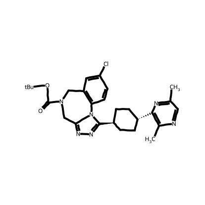 Cc1cnc(C)c([C@H]2CC[C@H](c3nnc4n3-c3ccc(Cl)cc3CN(C(=O)OC(C)(C)C)C4)CC2)n1